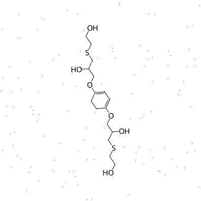 OCCSCC(O)COC1=CC=C(OCC(O)CSCCO)CC1